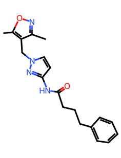 Cc1noc(C)c1Cn1ccc(NC(=O)CCCc2ccccc2)n1